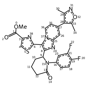 COC(=O)c1csc(-c2c(C3CCCC(=O)N3c3ccc(F)c(F)c3)nc3cc(-c4c(C)noc4C)ccn23)n1